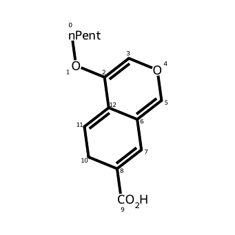 CCCCCOC1=COC=C2C=C(C(=O)O)CC=C21